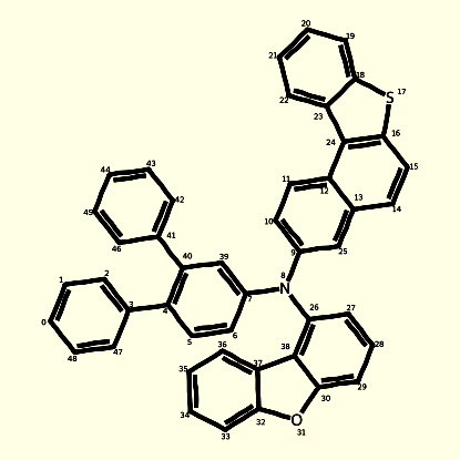 c1ccc(-c2ccc(N(c3ccc4c(ccc5sc6ccccc6c54)c3)c3cccc4oc5ccccc5c34)cc2-c2ccccc2)cc1